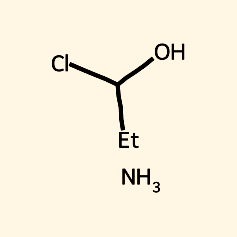 CCC(O)Cl.N